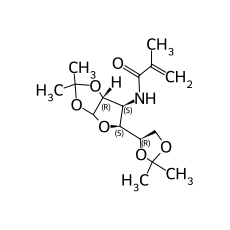 C=C(C)C(=O)N[C@H]1[C@@H]([C@H]2COC(C)(C)O2)OC2OC(C)(C)O[C@@H]21